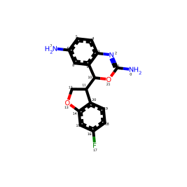 NC1=Nc2ccc(N)cc2C(C2COc3cc(F)ccc32)O1